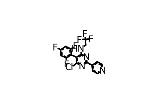 Fc1cc(F)c(-c2c(Cl)nc(-c3ccncc3)nc2NCC(F)(F)F)c(F)c1